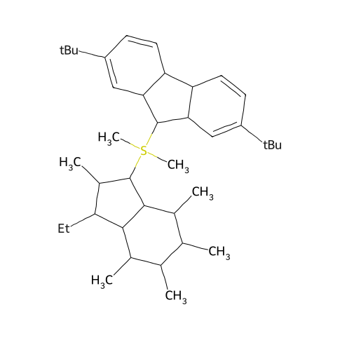 CCC1C(C)C(S(C)(C)C2C3C=C(C(C)(C)C)C=CC3C3C=CC(C(C)(C)C)=CC32)C2C(C)C(C)C(C)C(C)C12